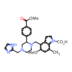 COC(=O)c1ccc(C2CN(Cc3ncc[nH]3)CCN2Cc2c(OC)cc(C)c3c2ccn3C(=O)O)cc1